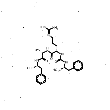 CC(C)[C@H](NC(=O)[C@H](CCCN=C(N)N)NC(=O)N[C@@H](Cc1ccccc1)C(=O)O)C(=O)N[C@H](C=O)Cc1ccccc1